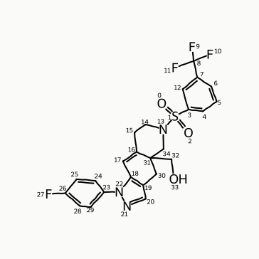 O=S(=O)(c1cccc(C(F)(F)F)c1)N1CCC2=Cc3c(cnn3-c3ccc(F)cc3)CC2(CO)C1